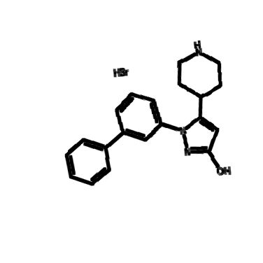 Br.Oc1cc(C2CCNCC2)n(-c2cccc(-c3ccccc3)c2)n1